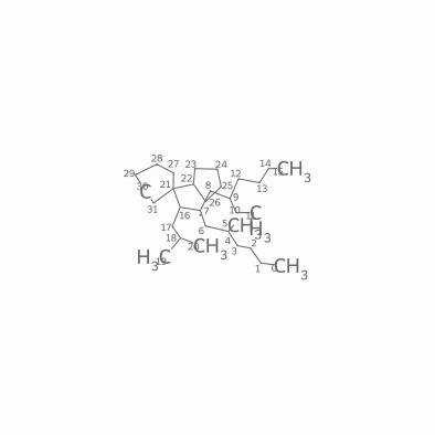 CCCCC(C)C[C](CC(CC)CCCC)C(CC(C)C)C1(C2CCCC2)CCCCC1